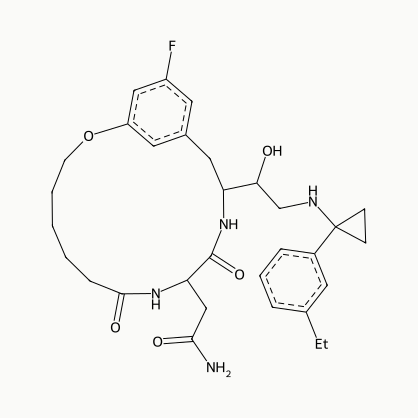 CCc1cccc(C2(NCC(O)C3Cc4cc(F)cc(c4)OCCCCCC(=O)NC(CC(N)=O)C(=O)N3)CC2)c1